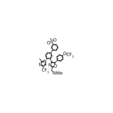 CNCc1nc(-c2cc(-c3cccc(S(C)(=O)=O)c3)ccc2-n2cc(C(F)(F)F)nc2C)c(-c2ccc(OC(F)(F)F)cc2)o1